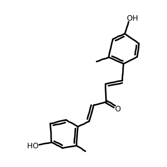 Cc1cc(O)ccc1/C=C/C(=O)/C=C/c1ccc(O)cc1C